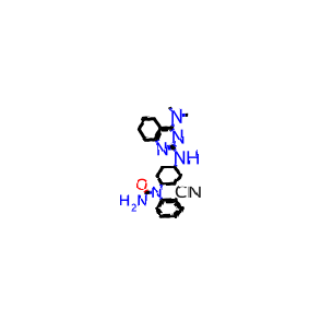 CN(C)c1nc(NC2CCC(N(C(N)=O)c3ccccc3C#N)CC2)nc2c1CCCC2